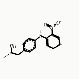 C[C@H](O)Cc1ccc(NC2=CC[CH]C=C2[N+](=O)[O-])cc1